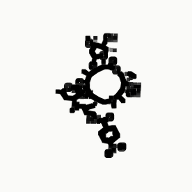 CC[C@H]1CN(C)[C@H](C)[C@@H](O)[C@](C)(O)[C@@H](CC)OC(=O)[C@H](C)[C@@H](O[C@H]2C[C@@](C)(OC)[C@@H](O)[C@H](C)O2)[C@H](C)[C@@H](O[C@@H]2O[C@H](C)C[C@H](N(C)CCCNC(=O)c3ccc([N+](=O)[O-])cc3)[C@H]2O)[C@](C)(O)C1